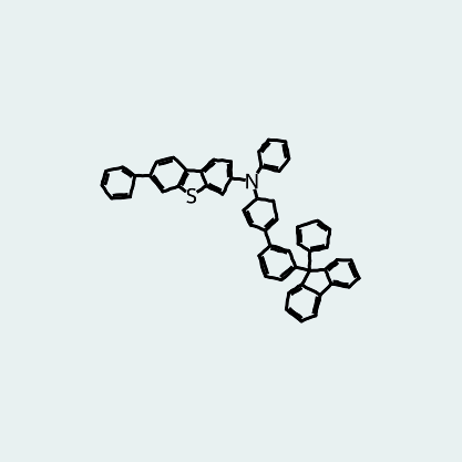 C1=CC(N(c2ccccc2)c2ccc3c(c2)sc2cc(-c4ccccc4)ccc23)CC=C1c1cccc(C2(c3ccccc3)c3ccccc3-c3ccccc32)c1